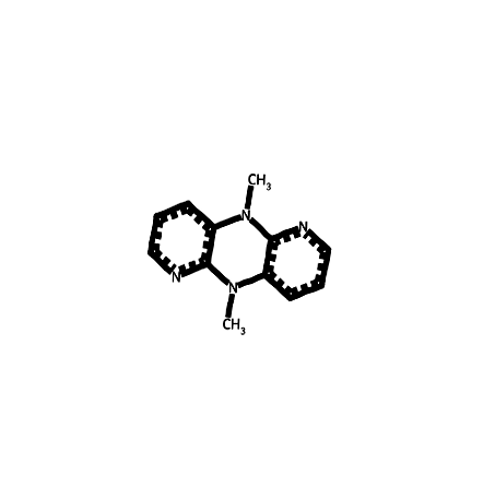 CN1c2cccnc2N(C)c2cccnc21